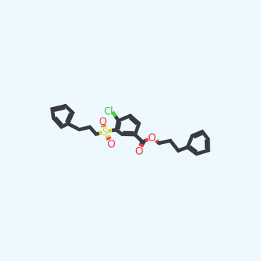 O=C(OCCCc1ccccc1)c1ccc(Cl)c(S(=O)(=O)CCCc2ccccc2)c1